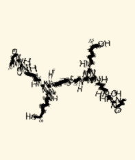 Cc1cc(=O)nc(NC(=O)NCCCCNc2nc(NCCCC[C@H](C)CO)nc(NCCSSCCNc3nc(NCCCCNC(=O)Nc4nc(=O)cc(C)[nH]4)nc(NCCCC[C@H](C)CO)n3)n2)[nH]1